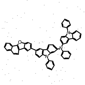 c1ccc(N(c2ccc3c(c2)c2ccccc2n3-c2ccccc2)c2ccc3c4cc(-c5ccc6oc7c8ccccc8ccc7c6c5)ccc4n(-c4ccccc4)c3c2)cc1